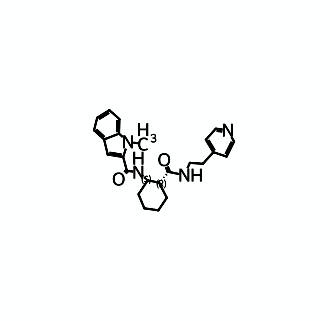 Cn1c(C(=O)N[C@H]2CCCC[C@H]2C(=O)NCCc2ccncc2)cc2ccccc21